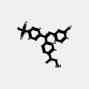 CC(CO)c1ccc(/C(=C\c2cccc(Br)c2)c2ccc(S(C)(=O)=O)cc2)nc1